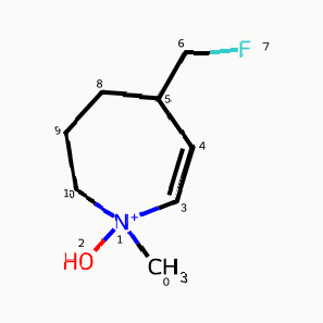 C[N+]1(O)C=CC(CF)CCC1